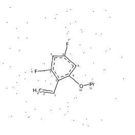 C=Cc1c(F)cc(F)cc1OC(C)C